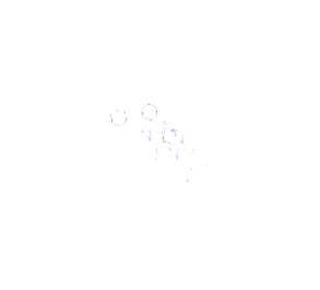 O=C(CC12CC3CC(CC(C3)C1)C2)Nc1ncnc2c1CCN(C(=O)C(c1ccccc1)c1ccccc1)C2